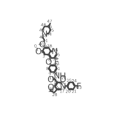 COc1cc2c(Oc3ccc(NC(=O)c4c5c(cn(-c6ccc(F)cc6)c4=O)CCO5)cc3F)ccnc2cc1OCCN1CCC(C)CC1